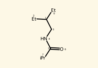 CCC(CC)CNC(=O)C(C)C